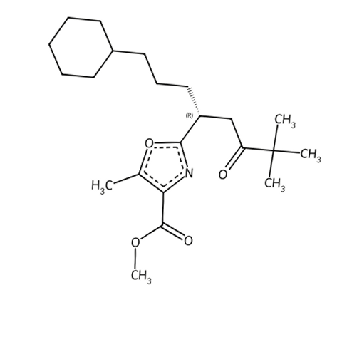 COC(=O)c1nc([C@H](CCCC2CCCCC2)CC(=O)C(C)(C)C)oc1C